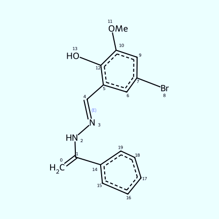 C=C(N/N=C/c1cc(Br)cc(OC)c1O)c1ccccc1